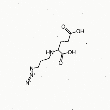 [N-]=[N+]=NCCCNC(CCC(=O)O)C(=O)O